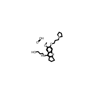 COc1cc2c(NCCCO)c3c(nc2cc1OCCCN1CCCC1)CCC3.O=CO